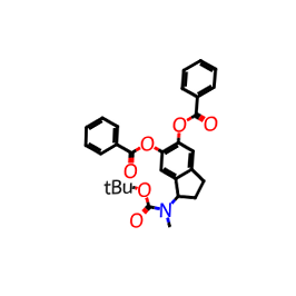 CN(C(=O)OC(C)(C)C)C1CCc2cc(OC(=O)c3ccccc3)c(OC(=O)c3ccccc3)cc21